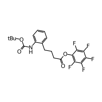 CC(C)(C)OC(=O)Nc1ccccc1CCCC(=O)Oc1c(F)c(F)c(F)c(F)c1F